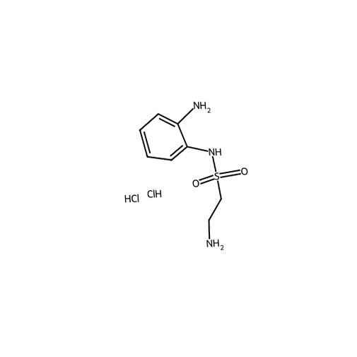 Cl.Cl.NCCS(=O)(=O)Nc1ccccc1N